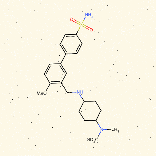 COc1ccc(-c2ccc(S(N)(=O)=O)cc2)cc1CNC1CCC(N(C)C(=O)O)CC1